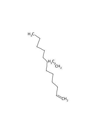 C=C.C=CCCCCCCCCCC